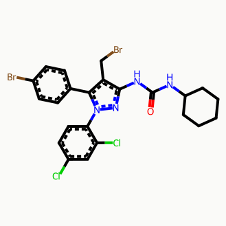 O=C(Nc1nn(-c2ccc(Cl)cc2Cl)c(-c2ccc(Br)cc2)c1CBr)NC1CCCCC1